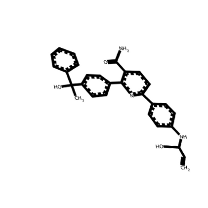 C=CC(O)Nc1ccc(-c2ccc(C(N)=O)c(-c3ccc(C(C)(O)c4ccccc4)cc3)n2)cc1